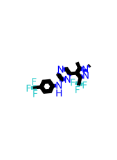 Cc1c(-c2cncc(Nc3ccc(C(F)(F)F)cc3)n2)c(C(F)(F)F)nn1C